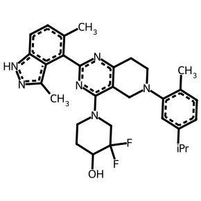 Cc1ccc(C(C)C)cc1N1CCc2nc(-c3c(C)ccc4[nH]nc(C)c34)nc(N3CCC(O)C(F)(F)C3)c2C1